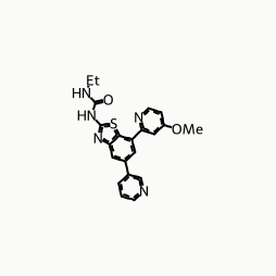 CCNC(=O)Nc1nc2cc(-c3cccnc3)cc(-c3cc(OC)ccn3)c2s1